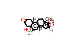 C[C@]12CC[C@H]3[C@@H](C[C@@H](Cl)[C@@]4(O)CC5OC5C[C@]34C)[C@@H]1C[C@H]1O[C@]12Br